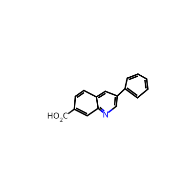 O=C(O)c1ccc2cc(-c3ccccc3)cnc2c1